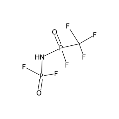 O=P(F)(F)NP(=O)(F)C(F)(F)F